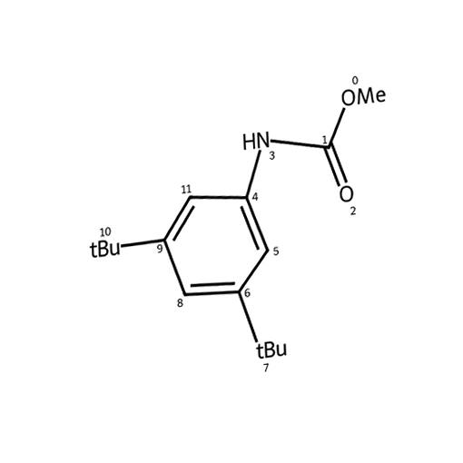 COC(=O)Nc1cc(C(C)(C)C)cc(C(C)(C)C)c1